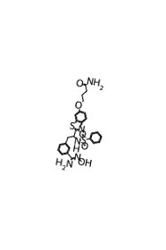 NC(=O)CCCOc1ccc2nc(C(Cc3cccc(C(N)=NO)c3)NS(=O)(=O)c3ccccc3)sc2c1